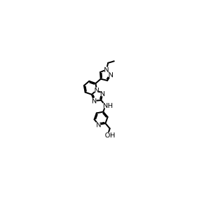 CCn1cc(-c2cccc3nc(Nc4ccnc(CO)c4)nn23)cn1